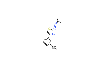 CC(C)=N/N=c1\scc(-c2cccc([N+](=O)[O-])c2)n1C